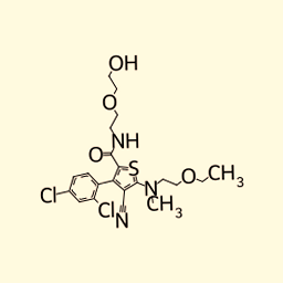 CCOCCN(C)c1sc(C(=O)NCCOCCO)c(-c2ccc(Cl)cc2Cl)c1C#N